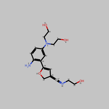 Nc1ccc(N(CCO)CCO)cc1C1=CC(=C=NCCO)CO1